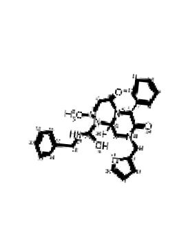 CN1CC(=O)N2[C@@H](c3ccccc3)C(=O)N(Cc3ccco3)C[C@@H]2N1C(O)NCc1ccccc1